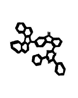 c1ccc(-c2nc(-c3ccccc3)nc(-c3cccc4[nH]c5cc(-n6c7ccc8ccccc8c7c7c8ccccc8ccc76)ccc5c34)n2)cc1